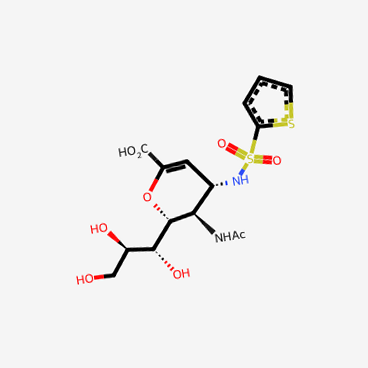 CC(=O)N[C@H]1[C@H]([C@H](O)[C@H](O)CO)OC(C(=O)O)=C[C@@H]1NS(=O)(=O)c1cccs1